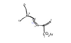 C=C(/N=C/N(C)C)C(=O)O